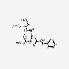 CCOC(=O)[C@H](CO)NC(=O)[C@H](CC(=O)OCc1ccccc1)NC(=O)OC(C)(C)C